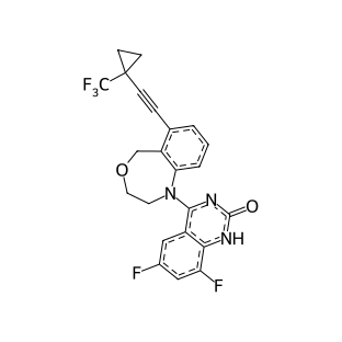 O=c1nc(N2CCOCc3c(C#CC4(C(F)(F)F)CC4)cccc32)c2cc(F)cc(F)c2[nH]1